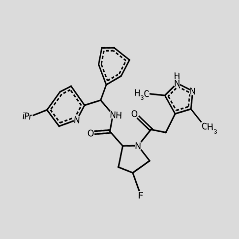 Cc1n[nH]c(C)c1CC(=O)N1CC(F)CC1C(=O)NC(c1ccccc1)c1ccc(C(C)C)cn1